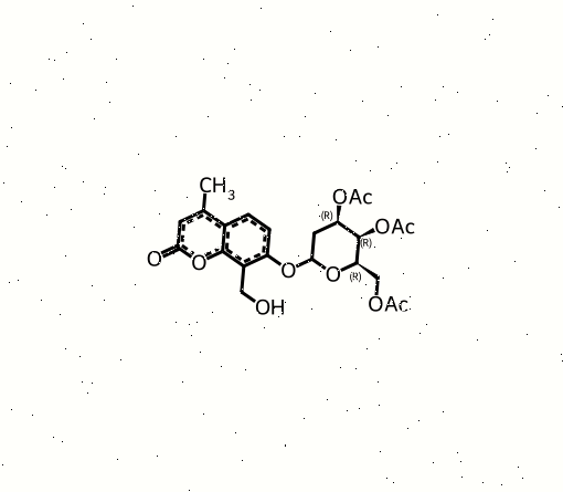 CC(=O)OC[C@H]1OC(Oc2ccc3c(C)cc(=O)oc3c2CO)C[C@@H](OC(C)=O)[C@H]1OC(C)=O